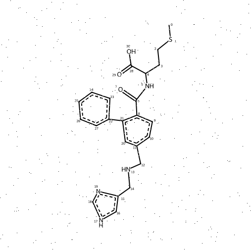 CSCCC(NC(=O)c1ccc(CNCc2c[nH]cn2)cc1-c1ccccc1)C(=O)O